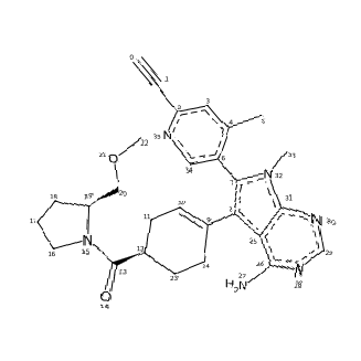 C#Cc1cc(C)c(-c2c(C3=CC[C@H](C(=O)N4CCC[C@H]4COC)CC3)c3c(N)ncnc3n2C)cn1